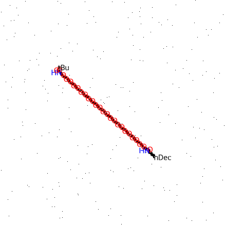 CCCCCCCCCCCCCCCC(=O)NCCOCCOCCOCCOCCOCCOCCOCCOCCOCCOCCOCCOCCOCCOCCOCCOCCOCCOCCOCCOCCOCCOCCOCCNC(=O)OC(C)(C)C